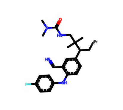 CC(C)CC(c1ccc(Nc2ccc(F)cc2)c(C=N)c1)C(C)(C)CNC(=O)N(C)C